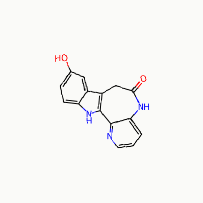 O=C1Cc2c([nH]c3ccc(O)cc23)-c2ncccc2N1